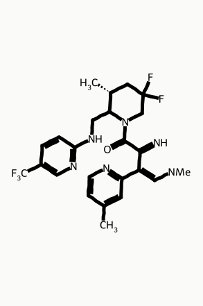 CN/C=C(\C(=N)C(=O)N1CC(F)(F)C[C@@H](C)C1CNc1ccc(C(F)(F)F)cn1)c1cc(C)ccn1